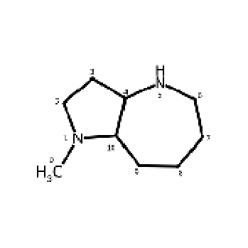 CN1CCC2NCCCCC21